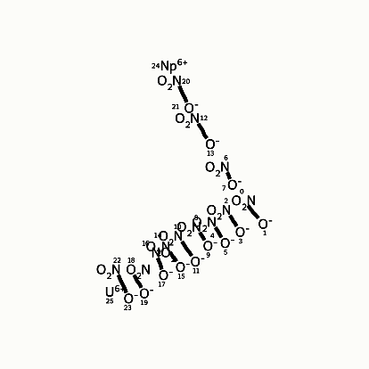 O=[N+]([O-])[O-].O=[N+]([O-])[O-].O=[N+]([O-])[O-].O=[N+]([O-])[O-].O=[N+]([O-])[O-].O=[N+]([O-])[O-].O=[N+]([O-])[O-].O=[N+]([O-])[O-].O=[N+]([O-])[O-].O=[N+]([O-])[O-].O=[N+]([O-])[O-].O=[N+]([O-])[O-].[Np+6].[U+6]